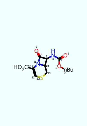 CCCCOC(=O)NC1C(=O)N2C(C(=O)O)=CSCC12